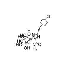 NC(=O)c1nc(C#Cc2ccc(Cl)cc2)nn1[C@@H]1O[C@H](C(O)O)C(O)(O)C1(O)O